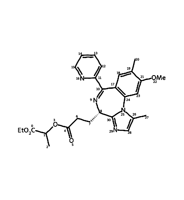 CCOC(=O)C(C)OC(=O)CC[C@@H]1N=C(c2ccccn2)c2cc(C)c(OC)cc2-n2c(C)cnc21